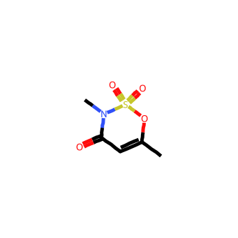 CC1=CC(=O)N(C)S(=O)(=O)O1